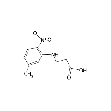 Cc1ccc([N+](=O)[O-])c(NCCC(=O)O)c1